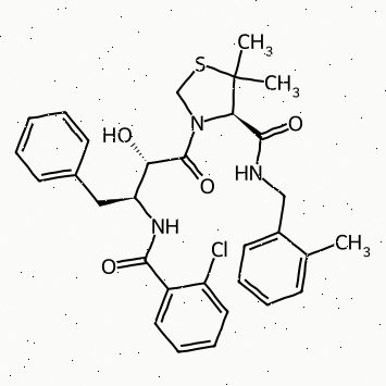 Cc1ccccc1CNC(=O)[C@H]1N(C(=O)[C@@H](O)[C@H](Cc2ccccc2)NC(=O)c2ccccc2Cl)CSC1(C)C